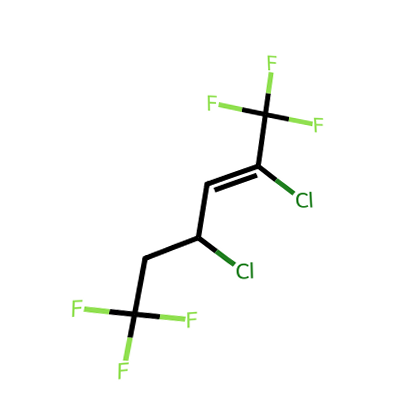 FC(F)(F)CC(Cl)C=C(Cl)C(F)(F)F